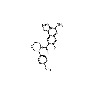 Nc1nc2cc(Cl)c(C(=O)N3CCOCC3c3ccc(C(F)(F)F)cc3)cc2n2cncc12